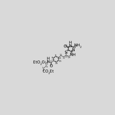 CCOC(=O)CCC(NC(=O)c1ccc(CCC2CNc3nc(N)[nH]c(=O)c3S2)cc1)C(=O)OCC